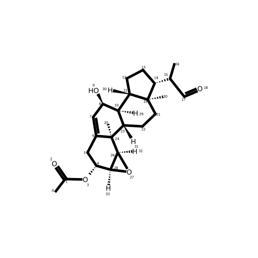 CC(=O)O[C@@H]1CC2=C[C@@H](O)[C@H]3[C@@H]4CC[C@H](C(C)C=O)[C@@]4(C)CC[C@@H]3[C@@]2(C)[C@H]2O[C@@H]12